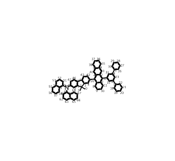 CC1(C)c2cc(-c3c4ccccc4c(-c4cc(-c5ccccc5)cc(-c5ccccc5)c4)c4cc5ccccc5cc34)ccc2-c2ccc(N(c3cccc4ccccc34)c3cccc4ccccc34)cc21